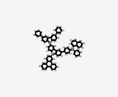 c1ccc(-c2ccc3c(c2)c2cc(-c4ccccc4)ccc2n3-c2ccc3c(c2)c2cc(-c4ccc(N(c5ccccc5)c5cccc6ccccc56)cc4)ccc2n3-c2ccc3c4ccccc4c4ccccc4c3c2)cc1